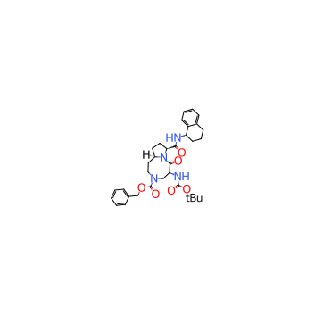 CC(C)(C)OC(=O)N[C@H]1CN(C(=O)OCc2ccccc2)CC[C@H]2CC[C@@H](C(=O)N[C@@H]3CCCc4ccccc43)N2C1=O